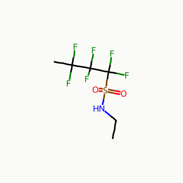 CCNS(=O)(=O)C(F)(F)C(F)(F)C(C)(F)F